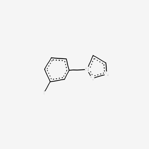 Clc1cccc(-n2[c]cnn2)c1